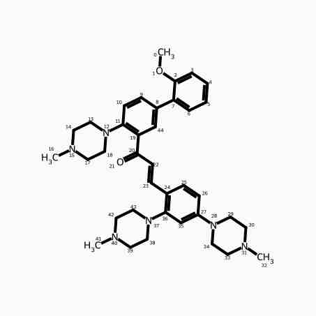 COc1ccccc1-c1ccc(N2CCN(C)CC2)c(C(=O)C=Cc2ccc(N3CCN(C)CC3)cc2N2CCN(C)CC2)c1